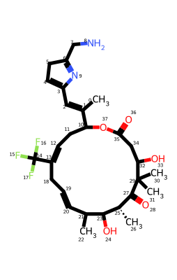 C/C(=C\C1=CCC(CN)=N1)C1C/C=C(/C(F)(F)F)C/C=C/C(C)C(O)[C@@H](C)C(=O)C(C)(C)C(O)CC(=O)O1